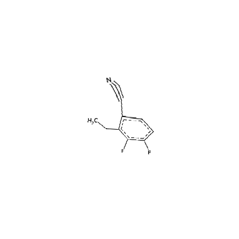 CCc1c(C#N)ccc(F)c1F